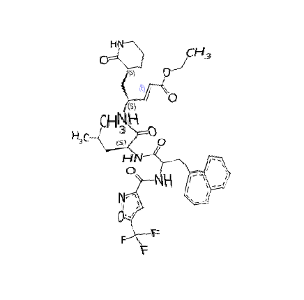 CCOC(=O)/C=C/[C@H](C[C@@H]1CCCNC1=O)NC(=O)[C@H](CC(C)C)NC(=O)C(Cc1cccc2ccccc12)NC(=O)c1cc(C(F)(F)F)on1